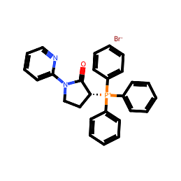 O=C1[C@H]([P+](c2ccccc2)(c2ccccc2)c2ccccc2)CCN1c1ccccn1.[Br-]